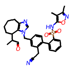 Cc1noc(NS(=O)(=O)c2ccccc2-c2ccc(Cn3cnc4c3C(C(C)C=O)CCCC4)cc2CC#N)c1C